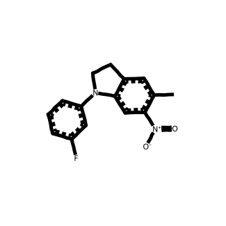 Cc1cc2c(cc1[N+](=O)[O-])N(c1cccc(F)c1)CC2